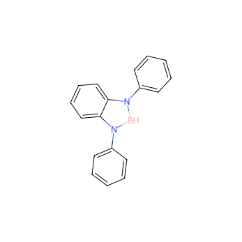 B1N(c2ccccc2)c2ccccc2N1c1ccccc1